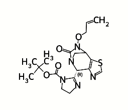 C=CCON1C(=O)N2CC1c1scnc1[C@@H]2C1=NCCN1C(=O)OC(C)(C)C